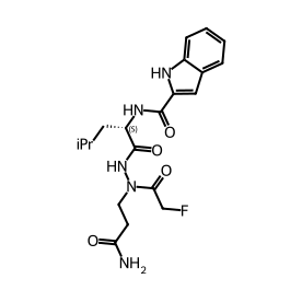 CC(C)C[C@H](NC(=O)c1cc2ccccc2[nH]1)C(=O)NN(CCC(N)=O)C(=O)CF